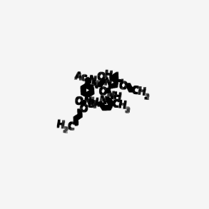 C=CCCCOC(=O)Nc1ccc2c(C(C)=O)nn(CC(=O)N3[C@H](C(=O)Nc4nc(Br)ccc4C)C[C@@]4(COCC=C)C[C@@H]34)c2c1